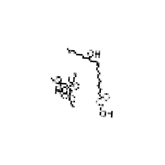 CCCCCC[C@@H](O)C/C=C\CCCCCCCC(=O)OCCO.CCOC(=O)CC(O)(CC(=O)OCC)C(=O)OCC